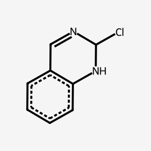 ClC1N=Cc2ccccc2N1